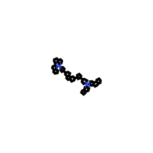 c1cc(-c2ccc(N(c3ccc4ccccc4c3)c3ccc4c(ccc5ccccc54)c3)cc2)cc(-c2ccc3ccc4cc(-c5ccc(N(c6cccc7ccccc67)c6cccc7ccccc67)cc5)ccc4c3c2)c1